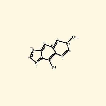 Cn1cnc2c(S)c3ncnc3cc2c1